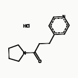 Cl.O=C(CCc1ccncc1)N1CCCC1